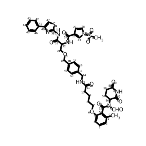 Cc1cccc(OCCCCC(=O)NCc2ccc(COCC(NC(=O)c3ccn(S(C)(=O)=O)c3)C(=O)Nc3nc(-c4ccccc4)cs3)cc2)c1C(=O)N(C=O)C1CCC(=O)NC1=O